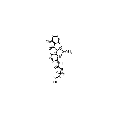 C[C@H](N)c1nc2cccc(Cl)c2c(=O)n1-c1cccc(NC(=O)NC(C)(C)CCO)c1